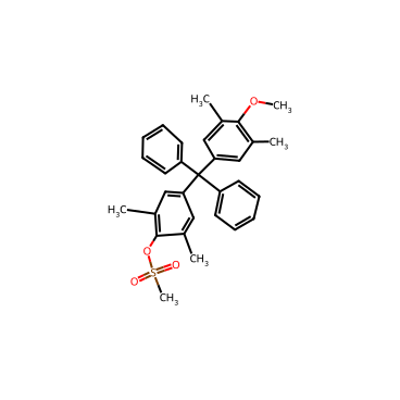 COc1c(C)cc(C(c2ccccc2)(c2ccccc2)c2cc(C)c(OS(C)(=O)=O)c(C)c2)cc1C